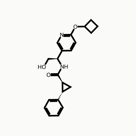 O=C(N[C@@H](CO)c1ccc(OC2CCC2)nc1)[C@H]1C[C@@H]1c1ccccc1